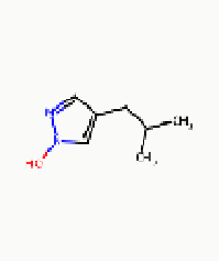 CC(C)Cc1[c]nn(O)c1